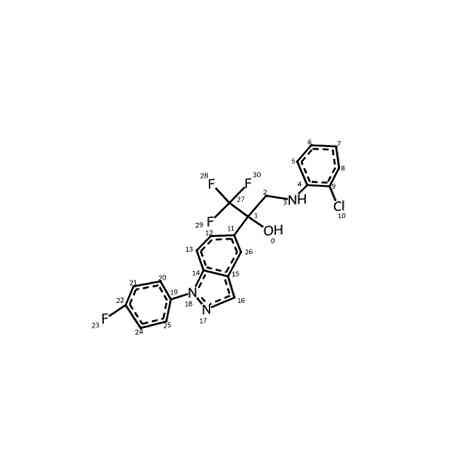 OC(CNc1ccccc1Cl)(c1ccc2c(cnn2-c2ccc(F)cc2)c1)C(F)(F)F